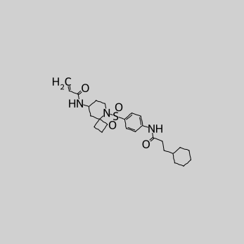 C=CC(=O)NC1CCN(S(=O)(=O)c2ccc(NC(=O)CCC3CCCCC3)cc2)C2(CCC2)C1